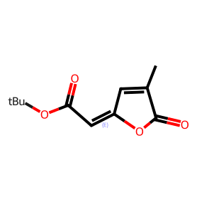 CC1=C/C(=C\C(=O)OC(C)(C)C)OC1=O